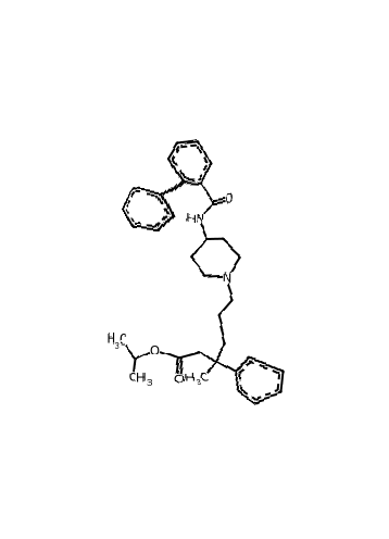 CC(C)OC(=O)CC(C)(CCCN1CCC(NC(=O)c2ccccc2-c2ccccc2)CC1)c1ccccc1